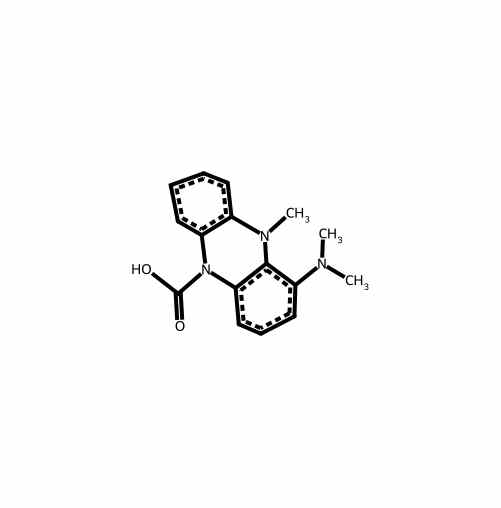 CN(C)c1cccc2c1N(C)c1ccccc1N2C(=O)O